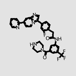 O=C(Cc1ccc(-c2cnc3cc(-c4ccccn4)ccn23)cc1F)Nc1cc(C(=O)N2CCNCC2)cc(C(F)(F)F)c1